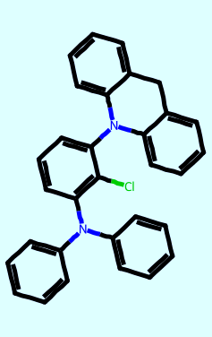 Clc1c(N(c2ccccc2)c2ccccc2)cccc1N1c2ccccc2Cc2ccccc21